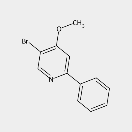 COc1cc(-c2ccccc2)ncc1Br